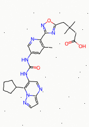 Cc1cc(NC(=O)Nc2cnc3ccnn3c2C2CCCC2)cnc1-c1noc(CC(C)(C)CC(=O)O)n1